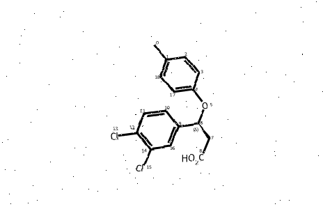 Cc1ccc(O[C@@H](CC(=O)O)c2ccc(Cl)c(Cl)c2)cc1